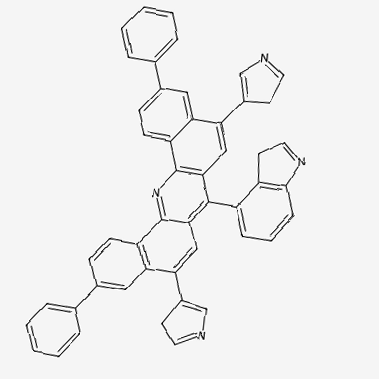 C1=NC=C(c2cc3c(-c4cccc5c4CC=N5)c4cc(C5=CN=CC5)c5cc(-c6ccccc6)ccc5c4nc3c3ccc(-c4ccccc4)cc23)C1